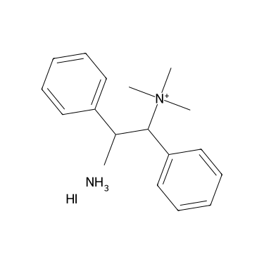 CC(c1ccccc1)C(c1ccccc1)[N+](C)(C)C.I.N